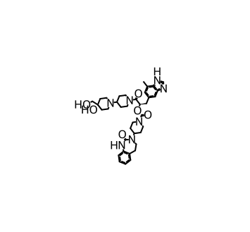 Cc1cc(C[C@@H](OC(=O)N2CCC(N3CCc4ccccc4NC3=O)CC2)C(=O)N2CCC(N3CCC(O)(CO)CC3)CC2)cc2nc[nH]c12